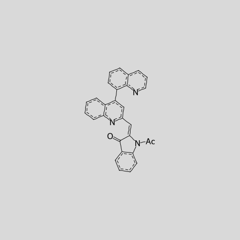 CC(=O)N1C(=Cc2cc(-c3cccc4cccnc34)c3ccccc3n2)C(=O)c2ccccc21